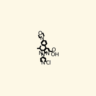 CC(C)c1nn(-c2ccnc(Cl)c2)c2nc(C(=O)O)cc(-c3ccc(N4CCOCC4)cc3)c12